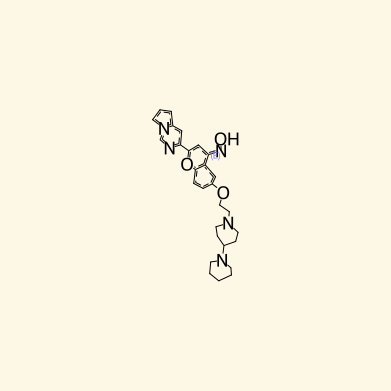 O/N=c1\cc(-c2cc3cccn3cn2)oc2ccc(OCCN3CCC(N4CCCCC4)CC3)cc12